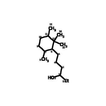 CCC(O)CCCC1C(C)CCC(C)C1(C)C